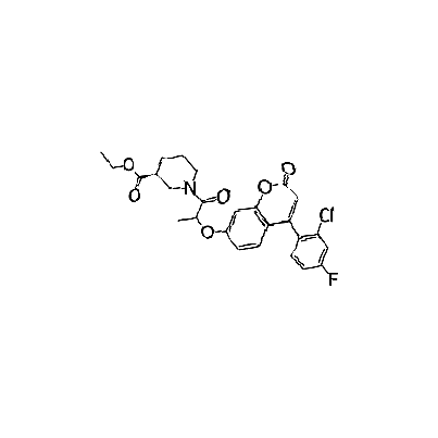 CCOC(=O)[C@H]1CCCN(C(=O)C(C)Oc2ccc3c(-c4ccc(F)cc4Cl)cc(=O)oc3c2)C1